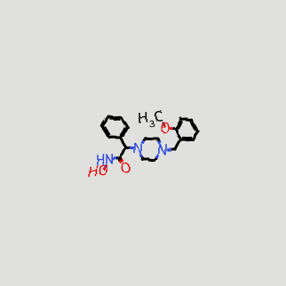 COc1ccccc1CN1CCN(C(C(=O)NO)c2ccccc2)CC1